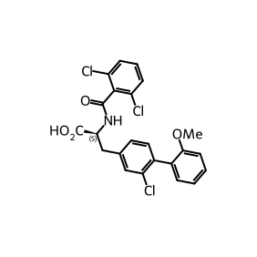 COc1ccccc1-c1ccc(C[C@H](NC(=O)c2c(Cl)cccc2Cl)C(=O)O)cc1Cl